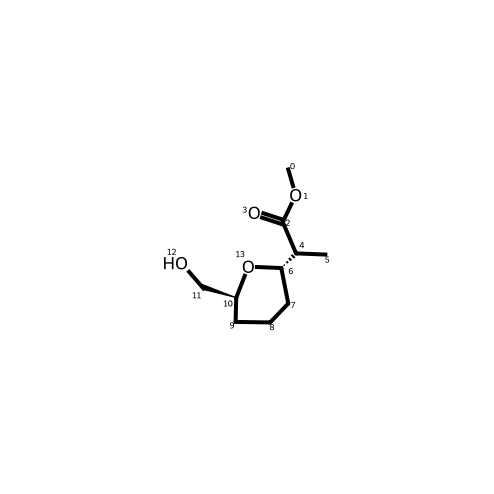 COC(=O)C(C)[C@@H]1CCC[C@@H](CO)O1